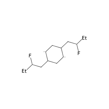 CCC(F)CC1[CH]CC(CC(F)CC)[CH]C1